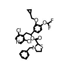 O=C(OC(Cc1c(Cl)cncc1Cl)c1ccc(OC(F)F)c(OCC2CC2)c1)C1SCCN1Cc1ccccc1